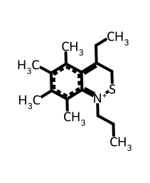 CCC[N+]1=c2c(C)c(C)c(C)c(C)c2=C(CC)CS1